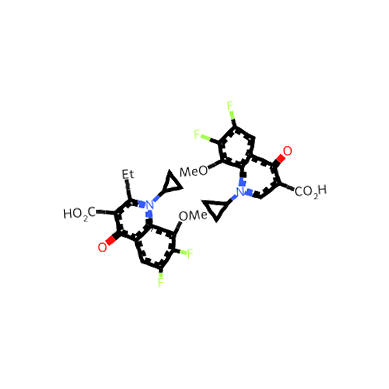 CCc1c(C(=O)O)c(=O)c2cc(F)c(F)c(OC)c2n1C1CC1.COc1c(F)c(F)cc2c(=O)c(C(=O)O)cn(C3CC3)c12